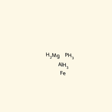 P.[AlH3].[Fe].[MgH2]